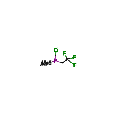 CSP(Cl)CC(F)(F)F